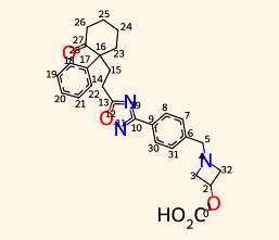 O=C(O)OC1CN(Cc2ccc(-c3noc(CCC4(c5ccccc5)CCCCC4=O)n3)cc2)C1